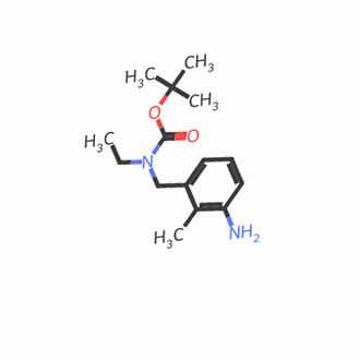 CCN(Cc1cccc(N)c1C)C(=O)OC(C)(C)C